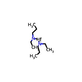 CCC[N](CC)[Hf][N](CC)CCC